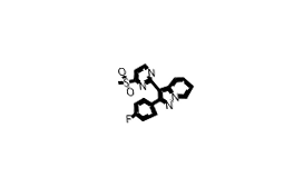 CS(=O)(=O)c1ccnc(-c2c(-c3ccc(F)cc3)nn3ccccc23)n1